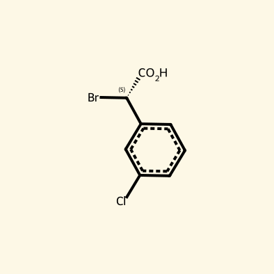 O=C(O)[C@@H](Br)c1cccc(Cl)c1